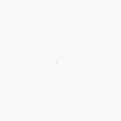 O=C(On1cc(I)cn1)C1CCC1